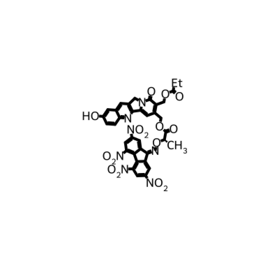 CCC(=O)OCc1c(COC(=O)[C@@H](C)ON=C2c3cc([N+](=O)[O-])cc([N+](=O)[O-])c3-c3c2cc([N+](=O)[O-])cc3[N+](=O)[O-])cc2n(c1=O)Cc1cc3cc(O)ccc3nc1-2